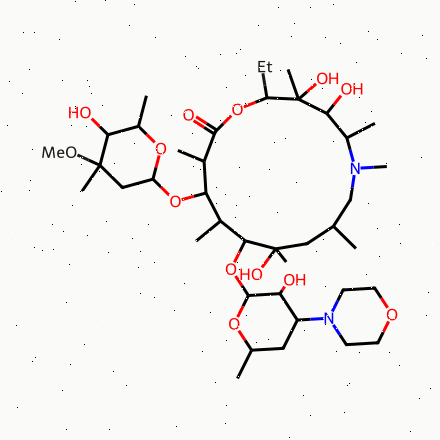 CCC1OC(=O)C(C)C(OC2CC(C)(OC)C(O)C(C)O2)C(C)C(OC2OC(C)CC(N3CCOCC3)C2O)C(C)(O)CC(C)CN(C)C(C)C(O)C1(C)O